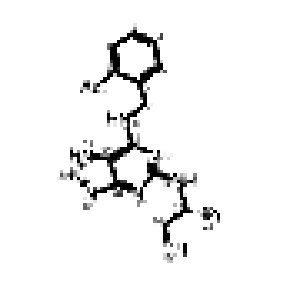 CC(=O)c1ccccc1CNc1nc(N[C@@H](CO)C(C)C)nc2nn[nH]c12